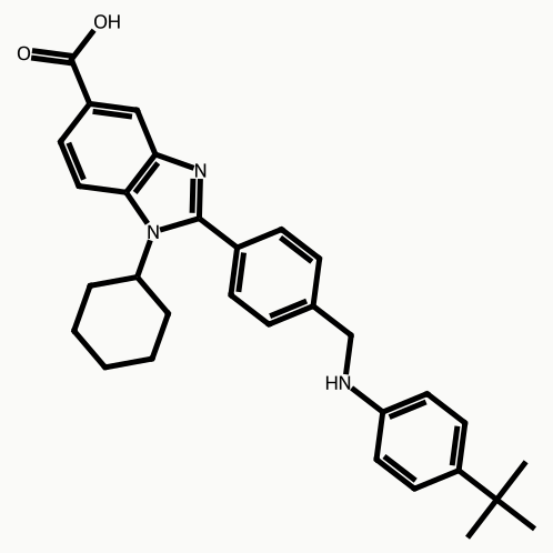 CC(C)(C)c1ccc(NCc2ccc(-c3nc4cc(C(=O)O)ccc4n3C3CCCCC3)cc2)cc1